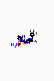 Cc1ccc([C@@H](COC(N)=O)NC(=O)c2cnc3c(c2)CN(C[C@H]2CC[C@@H](C(F)(F)F)CC2)[C@H]3C(C)C)nc1